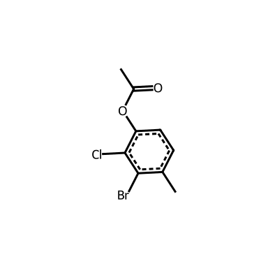 CC(=O)Oc1ccc(C)c(Br)c1Cl